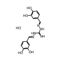 Cl.N=C(NN=Cc1ccc(O)c(O)c1)NN=Cc1ccc(O)c(O)c1